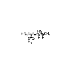 CNC(=N)NCCCN(COO)C(C)=O